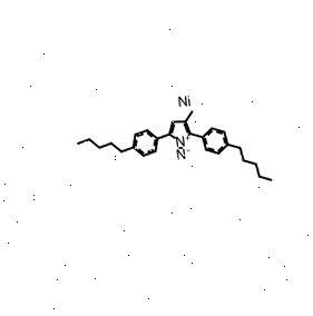 CCCCCc1ccc(C2=CC(C)=C(c3ccc(CCCCC)cc3)[N+]2=[N-])cc1.[Ni]